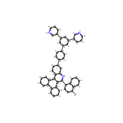 Fc1ccc(-c2nc3cc(-c4ccc(-c5cc(-c6cccnc6)cc(-c6cccnc6)c5)cc4)ccc3c3c4ccccc4c4ccccc4c23)c2ccccc12